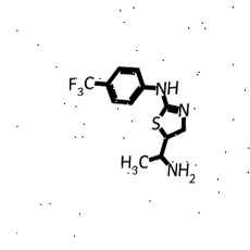 CC(N)C1CN=C(Nc2ccc(C(F)(F)F)cc2)S1